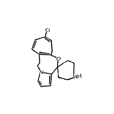 Clc1ccc2c(c1)OC1(CCNCC1)c1cccn1C2